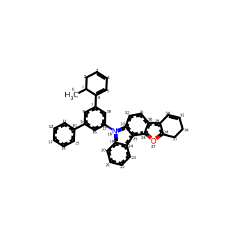 CC1CC=CC=C1c1cc(-c2ccccc2)cc(-n2c3ccccc3c3c4oc5c(c4ccc32)C=CCC5)c1